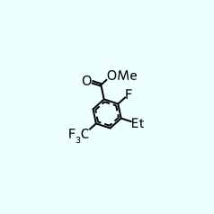 CCc1cc(C(F)(F)F)cc(C(=O)OC)c1F